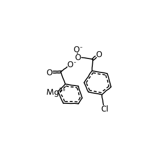 O=C(O[O-])c1ccc(Cl)cc1.O=C([O-])c1ccccc1.[Mg+2]